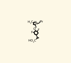 Cc1cc(COc2c(F)cc(C3CC3C(=O)O)cc2F)n(CC(C)C)n1